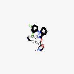 Fc1ccc(-n2nc(OC[C@@H]3CNCCO3)c3ccccc32)c(F)c1.O=C(O)/C=C\C(=O)O